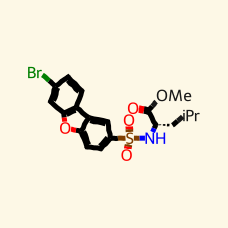 COC(=O)[C@H](CC(C)C)NS(=O)(=O)c1ccc2oc3cc(Br)ccc3c2c1